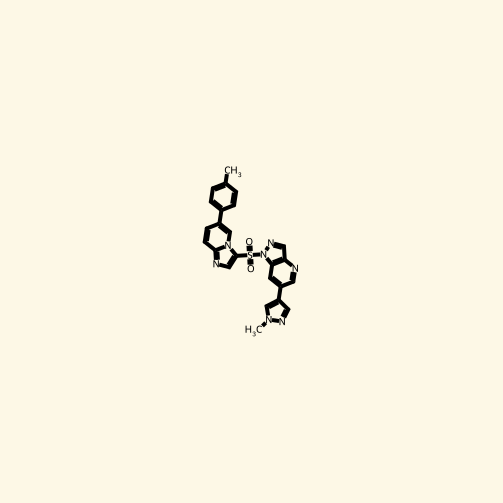 Cc1ccc(-c2ccc3ncc(S(=O)(=O)n4ncc5ncc(-c6cnn(C)c6)cc54)n3c2)cc1